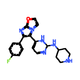 Fc1ccc(-c2nc3occn3c2C2=CC=NC(NC3CCNCC3)N2)cc1